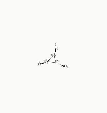 CC[C@@H]1[C@@H](N)[C@@H]1CC